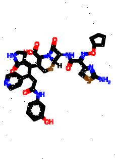 Nc1nc(C(=NOC2CCCC2)C(=O)N[C@@H]2C(=O)N3C(C(=O)O)=C(C(=C4CCNC4=O)C(CC(=O)Nc4cccc(O)c4)c4ccncc4)CS[C@H]23)cs1